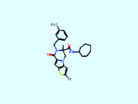 CCc1cc2c(cc3n2CC(C)(C(=O)NC2CCCCCC2)N(Cc2cccc(OC)c2)C3=O)s1